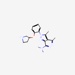 Cc1nnc(N(C)C)c2nn(-c3ccccc3OC3CCNC3)c(C)c12